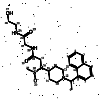 CC(c1cccc2ccccc12)N1CCC(N(CC(=O)NCC(=O)NCCO)[S+](C)[O-])CC1